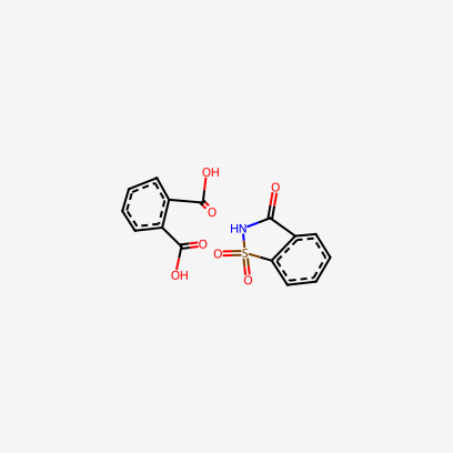 O=C(O)c1ccccc1C(=O)O.O=C1NS(=O)(=O)c2ccccc21